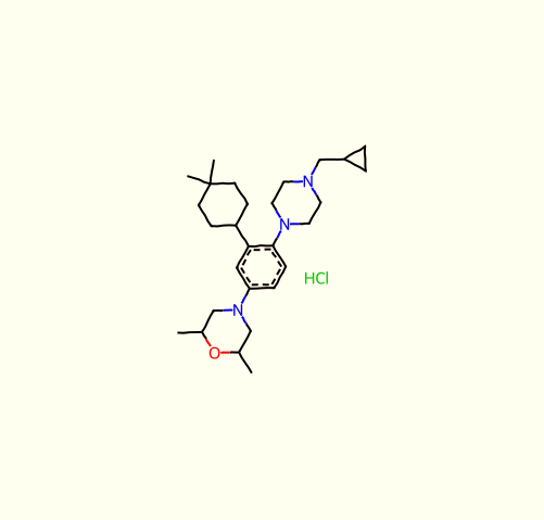 CC1CN(c2ccc(N3CCN(CC4CC4)CC3)c(C3CCC(C)(C)CC3)c2)CC(C)O1.Cl